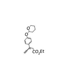 C#C[C@H](CC(=O)OCC)c1ccc(OC2CCCCO2)cc1